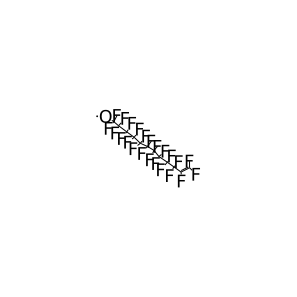 [O]C(F)(F)C(F)(F)C(F)(F)C(F)(F)C(F)(F)C(F)(F)C(F)(F)C(F)(F)C(F)(F)C(F)(F)C(F)=C(F)F